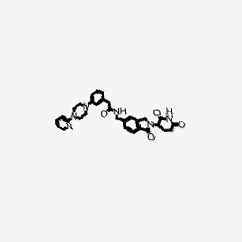 O=C(Cc1cccc(N2CCN(c3ccccn3)CC2)c1)NCc1ccc2c(c1)CN(C1CCC(=O)NC1=O)C2=O